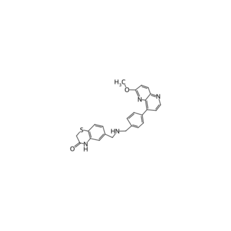 COc1ccc2nccc(-c3ccc(CNCc4ccc5c(c4)NC(=O)CS5)cc3)c2n1